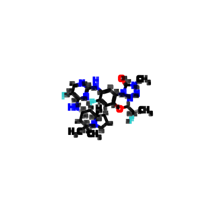 C[C@H](F)COc1cc(F)c(Nc2ncc(F)c(N[C@@H]3C[C@@H]4CCCN4C(C)(C)C3)n2)cc1-n1nnn(C)c1=O